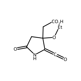 CCOC1(CC(=O)O)CC(=O)NC1=C=O